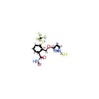 O=C(NBr)c1cccc(SC(F)(F)F)c1COc1ccn(S)n1